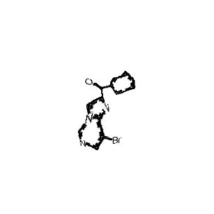 O=C(c1ccccc1)c1cn2cncc(Br)c2n1